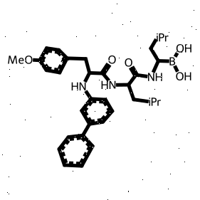 COc1ccc(CC(Nc2cccc(-c3ccccc3)c2)C(=O)NC(CC(C)C)C(=O)NC(CC(C)C)B(O)O)cc1